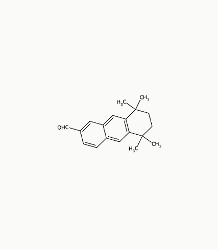 CC1(C)CCC(C)(C)c2cc3cc(C=O)ccc3cc21